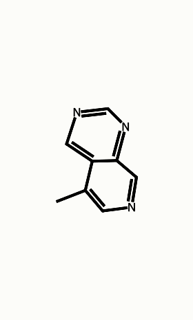 Cc1cncc2ncncc12